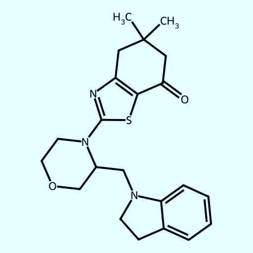 CC1(C)CC(=O)c2sc(N3CCOCC3CN3CCc4ccccc43)nc2C1